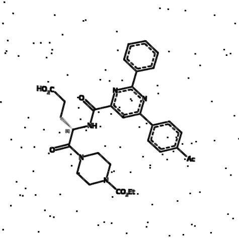 CCOC(=O)N1CCN(C(=O)[C@H](CCC(=O)O)NC(=O)c2cc(-c3ccc(C(C)=O)cc3)nc(-c3ccccc3)n2)CC1